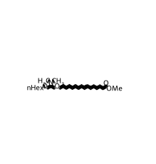 CCCCCCOCC(COCCCCCCCCC=CCCCCCC(=O)OC)N(C)C